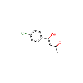 CC(=O)/C=C(\O)c1ccc(Cl)cc1